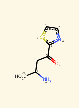 NC(CC(=O)c1nccs1)C(=O)O